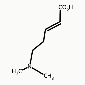 CN(C)CCC=CC(=O)O